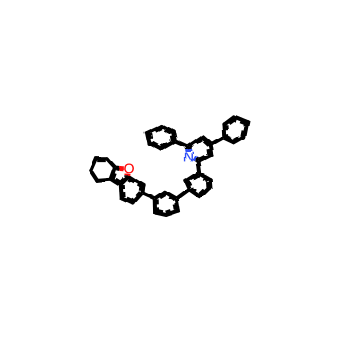 C1=Cc2oc3cc(-c4cccc(-c5cccc(-c6cc(-c7ccccc7)cc(-c7ccccc7)n6)c5)c4)ccc3c2CC1